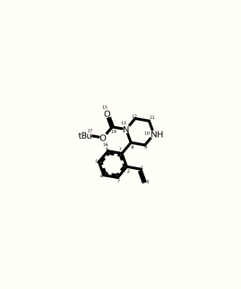 C=Cc1ccccc1C1CNCCN1C(=O)OC(C)(C)C